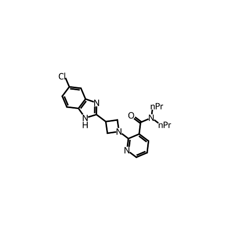 CCCN(CCC)C(=O)c1cccnc1N1CC(c2nc3cc(Cl)ccc3[nH]2)C1